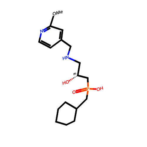 COc1cc(CNC[C@@H](O)CP(=O)(O)CC2CCCCC2)ccn1